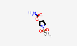 CS(=O)(=O)N1CC[C@H](OC(N)=O)C1